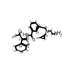 NCCN(Cc1cccc(C(=O)Nc2sc3c(c2C(=O)I)CCCC3)c1)C1CC1